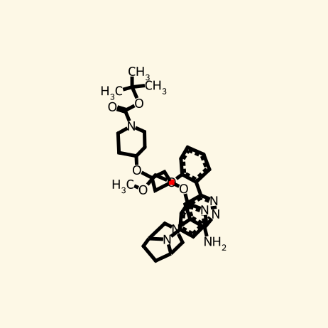 COCOc1ccccc1-c1cc(N2CC3CCC(C2)N3c2ccnc(OC3CC(OC4CCN(C(=O)OC(C)(C)C)CC4)C3)c2)c(N)nn1